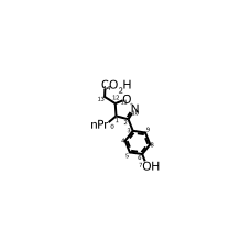 CCCC1C(c2ccc(O)cc2)=NOC1CC(=O)O